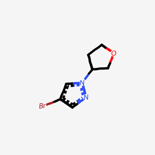 Brc1cnn(C2CCOC2)c1